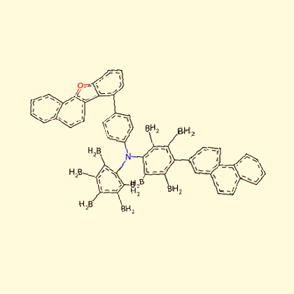 Bc1c(B)c(B)c(N(c2ccc(-c3cccc4oc5c6ccccc6ccc5c34)cc2)c2c(B)c(B)c(-c3ccc4c(ccc5ccccc54)c3)c(B)c2B)c(B)c1B